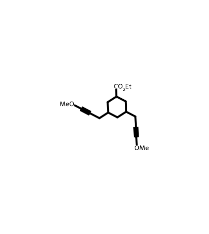 CCOC(=O)[C]1CC(CC#COC)CC(CC#COC)C1